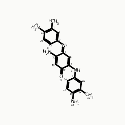 Cc1cc(/N=C2/C=C(Nc3ccc(N)c(C)c3)C(=O)C=C2N)ccc1N